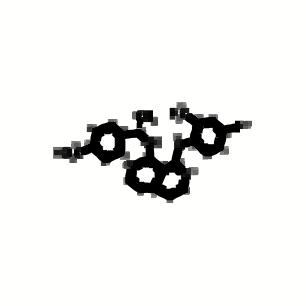 C[C@H](Nc1nccc2ccnc(Oc3ccc(F)cc3C(F)(F)F)c12)c1ccc(C(=O)O)cc1